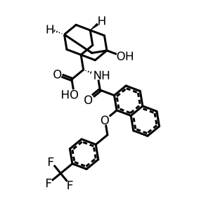 O=C(N[C@H](C(=O)O)C12C[C@@H]3C[C@@H](CC(O)(C3)C1)C2)c1ccc2ccccc2c1OCc1ccc(C(F)(F)F)cc1